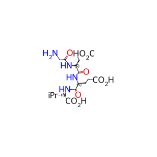 CC(C)[C@H](NC(=O)[C@H](CCC(=O)O)NC(=O)[C@H](CC(=O)O)NC(=O)CN)C(=O)O